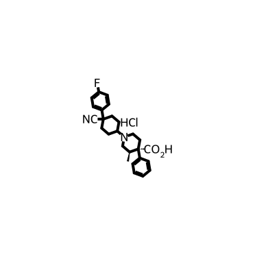 C[C@H]1CN(C2CCC(C#N)(c3ccc(F)cc3)CC2)CC[C@@]1(C(=O)O)c1ccccc1.Cl